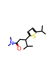 CC(C)c1ccc(C(CC(=O)N(C)C)C(C)C)s1